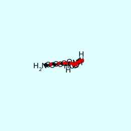 CNc1ccc(C(=O)N[C@@H](CCC(=O)NCCOCCOCCOCCOCCOCCN)C(=O)O)cc1